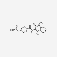 Cn1c(=O)c(C(=O)Nc2ccc(CC(=O)O)cc2)c(O)c2ccccc21